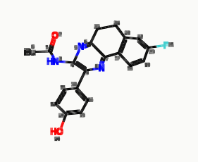 CCC(C)C(=O)Nc1nc2c(nc1-c1ccc(O)cc1)-c1ccc(F)cc1CC2